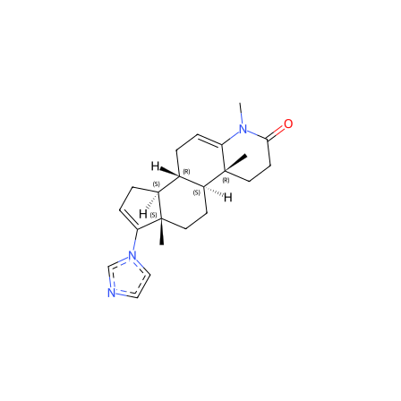 CN1C(=O)CC[C@@]2(C)C1=CC[C@@H]1[C@@H]2CC[C@]2(C)C(n3ccnc3)=CC[C@@H]12